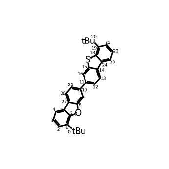 CC(C)(C)c1cccc2c1oc1cc(-c3ccc4c(c3)sc3c(C(C)(C)C)cccc34)ccc12